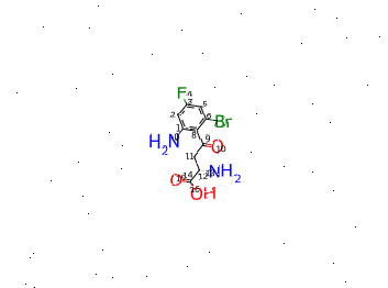 Nc1cc(F)cc(Br)c1C(=O)C[C@H](N)C(=O)O